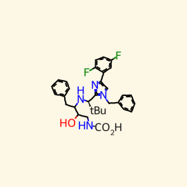 CC(C)(C)[C@@H](NC(Cc1ccccc1)C(O)CNC(=O)O)c1nc(-c2cc(F)ccc2F)cn1Cc1ccccc1